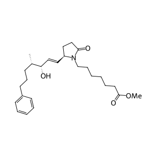 COC(=O)CCCCCCN1C(=O)CC[C@@H]1C=C[C@H](O)[C@@H](C)CCCc1ccccc1